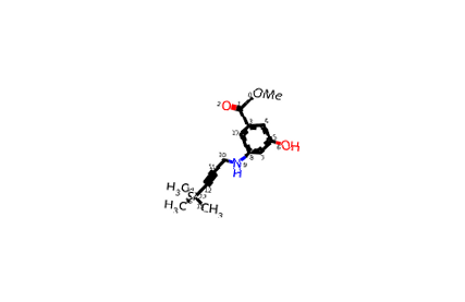 COC(=O)c1cc(O)cc(NCC#C[Si](C)(C)C)c1